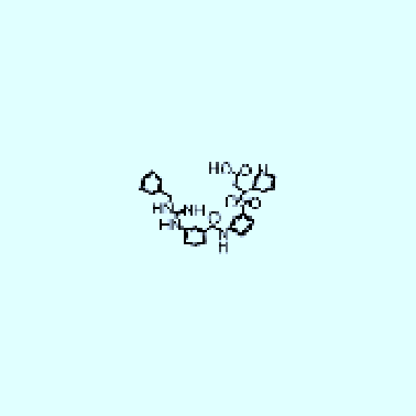 N=C(NCc1ccccc1)Nc1cccc(C(=O)Nc2cccc(S(=O)(=O)C(CC(=O)O)c3cccnc3)c2)c1